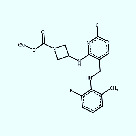 Cc1cccc(F)c1NCc1cnc(Cl)nc1NC1CN(C(=O)OC(C)(C)C)C1